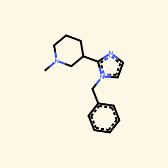 CN1CCCC(c2nccn2Cc2ccccc2)C1